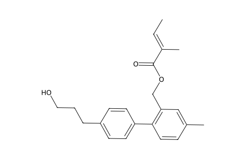 C/C=C(\C)C(=O)OCc1cc(C)ccc1-c1ccc(CCCO)cc1